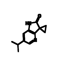 CC(C)c1cnc2c(c1)NC(=O)C21CC1